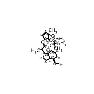 C[C@@H](CO[C@@H]1C=C[C@@](C)(O[Si](C)(C)C(C)(C)C)C1)[C@H]1CCC2C(=CI)CCC[C@]21C